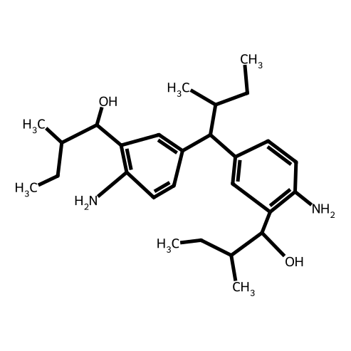 CCC(C)C(O)c1cc(C(c2ccc(N)c(C(O)C(C)CC)c2)C(C)CC)ccc1N